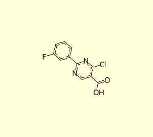 O=C(O)c1cnc(-c2cccc(F)c2)nc1Cl